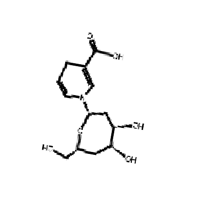 O=C(O)C1=CN([C@H]2C[C@@H](O)[C@@H](O)C[C@@H](CO)O2)C=CC1